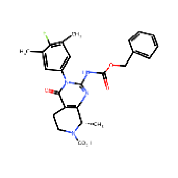 Cc1cc(-n2c(NC(=O)OCc3ccccc3)nc3c(c2=O)CCN(C(=O)O)[C@H]3C)cc(C)c1F